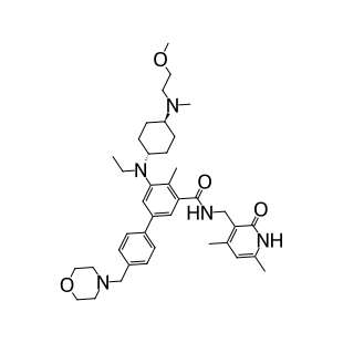 CCN(c1cc(-c2ccc(CN3CCOCC3)cc2)cc(C(=O)NCc2c(C)cc(C)[nH]c2=O)c1C)[C@H]1CC[C@H](N(C)CCOC)CC1